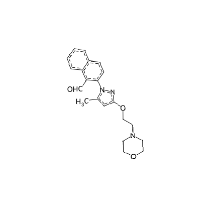 Cc1cc(OCCN2CCOCC2)nn1-c1ccc2ccccc2c1C=O